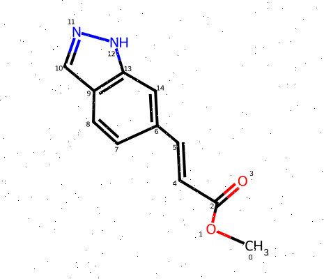 COC(=O)/C=C/c1ccc2cn[nH]c2c1